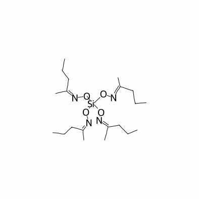 CCCC(C)=NO[Si](ON=C(C)CCC)(ON=C(C)CCC)ON=C(C)CCC